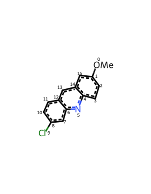 COc1ccc2nc3cc(Cl)ccc3cc2c1